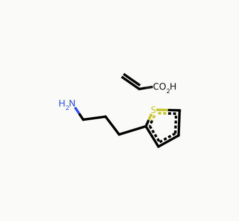 C=CC(=O)O.NCCCc1cccs1